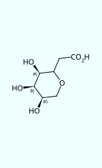 O=C(O)CC1OC[C@@H](O)[C@@H](O)[C@H]1O